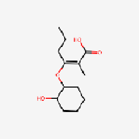 CCCC(OC1CCCCC1O)=C(C)C(=O)O